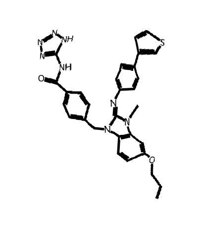 CCCOc1ccc2c(c1)n(C)/c(=N\c1ccc(-c3ccsc3)cc1)n2Cc1ccc(C(=O)Nc2nnn[nH]2)cc1